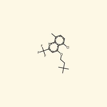 Cc1ccc(Cl)c2c(OCCC(C)(C)C)cc(C(F)(F)F)nc12